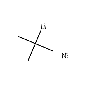 [Li][C](C)(C)C.[N]